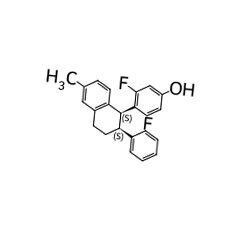 Cc1ccc2c(c1)CC[C@H](c1ccccc1)[C@@H]2c1c(F)cc(O)cc1F